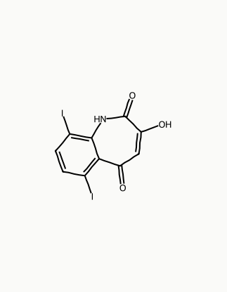 O=c1[nH]c2c(I)ccc(I)c2c(=O)cc1O